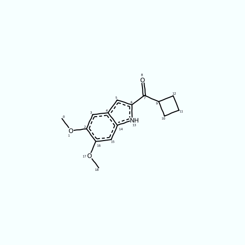 COc1cc2cc(C(=O)C3CCC3)[nH]c2cc1OC